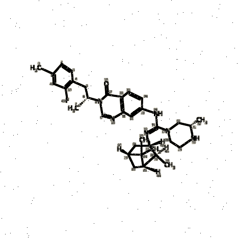 Cc1ccc(C[C@@H](C)n2cnc3cc(NC(=N[C@H]4C[C@H]5C[C@@H]([C@@H]4C)C5(C)C)N4CCN[C@@H](C)C4)ccc3c2=O)c(F)c1